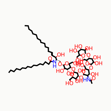 CCCCCCCCCCCCC/C=C/[C@@H](O)[C@H](CO[C@@H]1OC(CO)[C@@H](O[C@@H]2OC(CO)[C@H](O)[C@H](O[C@@H]3OC(CO)[C@@H](O[C@@H]4OC(CO)[C@H](O[C@@H]5OC(CO)[C@H](O)[C@H](O)C5O)[C@H](O)C4O)[C@H](O)C3NC(C)=O)C2O)[C@H](O)C1O)NC(=O)CCCCCCCCCCCCCCC